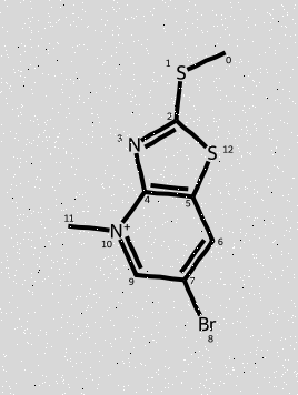 CSc1nc2c(cc(Br)c[n+]2C)s1